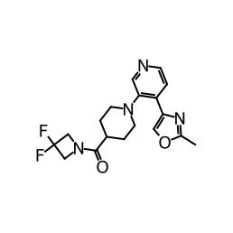 Cc1nc(-c2ccncc2N2CCC(C(=O)N3CC(F)(F)C3)CC2)co1